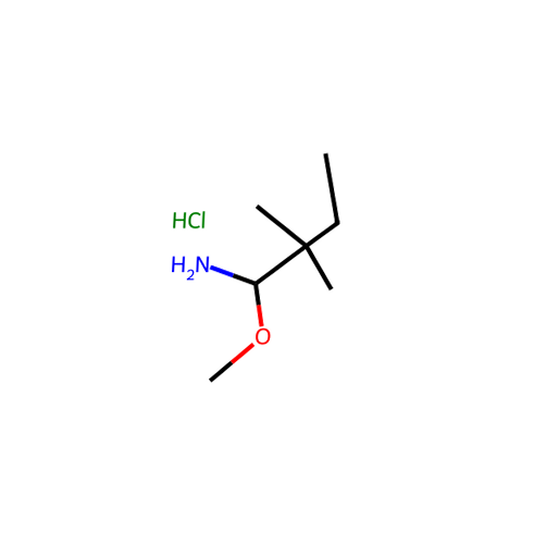 CCC(C)(C)C(N)OC.Cl